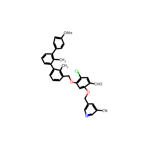 COc1ccc(-c2cccc(-c3cccc(COc4cc(OCc5cncc(C#N)c5)c(C=O)cc4Cl)c3C)c2C)cc1